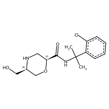 CC(C)(NC(=O)[C@@H]1CN[C@H](CO)CO1)c1ccccc1Cl